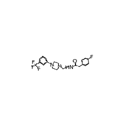 O=C(Cc1ccc(F)cc1)NCCN1CCN(c2cccc(C(F)(F)F)c2)CC1